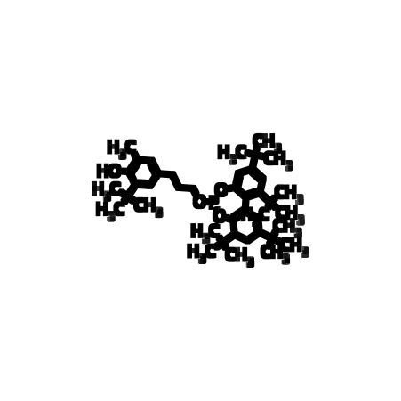 Cc1cc(CCCOp2oc3c(c4c(C(C)(C)C)cc(C(C)(C)C)cc4o2)C=C(C(C)(C)C)CC3C(C)(C)C)cc(C(C)(C)C)c1O